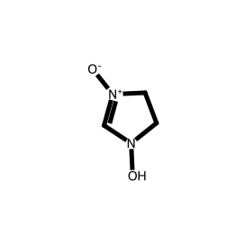 [O-][N+]1=CN(O)CC1